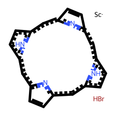 Br.C1=Cc2cc3ccc(cc4nc(cc5ccc(cc1n2)[nH]5)C=C4)[nH]3.[Sc]